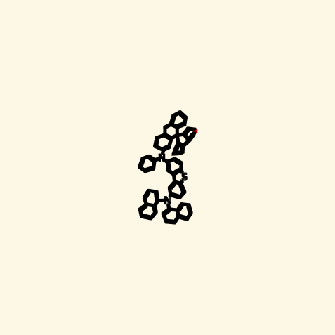 c1ccc(N(c2ccc3c(c2)C2(c4ccccc4C3)c3ccccc3-c3ccccc32)c2ccc3sc4ccc(N(c5cccc6ccccc56)c5cccc6ccccc56)cc4c3c2)cc1